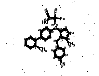 Cc1ccccc1-c1ccc(Oc2cnc(C)n2Cc2ccc(C#N)cc2)cc1.O=C(O)C(F)(F)F